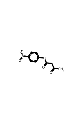 CC(=O)CC(=O)Oc1ccc([N+](=O)[O-])cc1